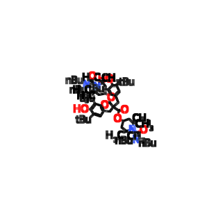 CCCCN(CCCC)C(=O)N1C(C)(C)CC(OC(=O)C(Cc2cc(C(C)(C)C)c(O)c(C(C)(C)C)c2)(Cc2cc(C(C)(C)C)c(O)c(C(C)(C)C)c2)C(=O)OC2CC(C)(C)N(C(=O)N(CCCC)CCCC)C(C)(C)C2)CC1(C)C